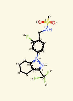 CS(=O)(=O)NCc1ccc(-n2nc(C(F)(F)F)c3c2CCCC3)cc1F